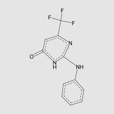 O=c1cc(C(F)(F)F)nc(Nc2ccccc2)[nH]1